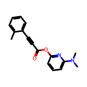 Cc1ccccc1C#CC(=O)Oc1cccc(N(C)C)n1